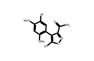 CCc1onc(C(N)=O)c1-c1cc(C(C)C)c(OC)cc1OC